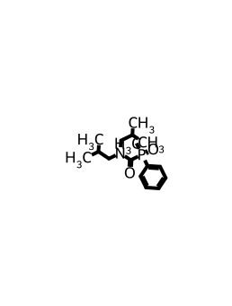 CC(C)CN(CC(C)C)C(=O)P(C)(=O)c1ccccc1